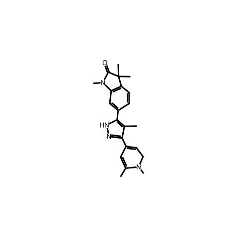 CC1=CC(c2n[nH]c(-c3ccc4c(c3)N(C)C(=O)C4(C)C)c2C)=CCN1C